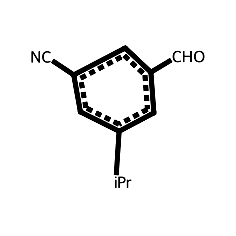 CC(C)c1cc(C#N)cc(C=O)c1